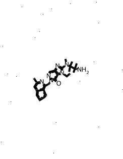 CCn1c(N(C)C(C)(C)C(C)(C)N)nc2cnn(Cc3nc(C)cc4ccccc34)c(=O)c21